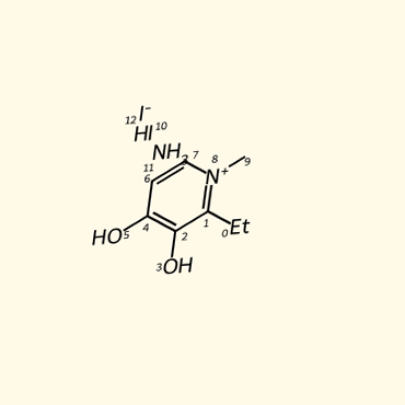 CCc1c(O)c(O)cc[n+]1C.I.N.[I-]